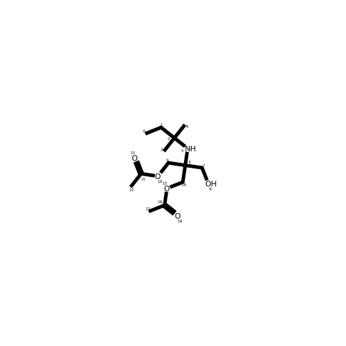 CCC(C)(C)NC(CO)(COC(C)=O)COC(C)=O